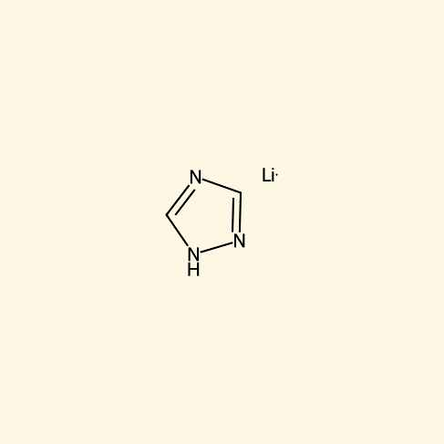 [Li].c1nc[nH]n1